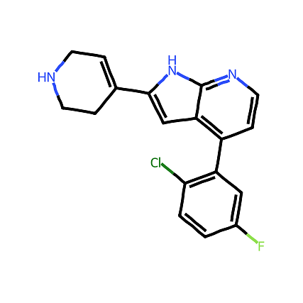 Fc1ccc(Cl)c(-c2ccnc3[nH]c(C4=CCNCC4)cc23)c1